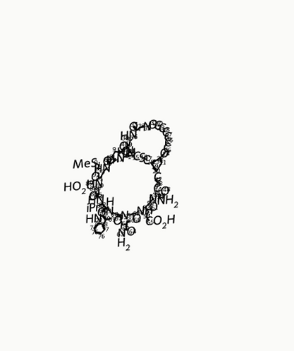 CSCC[C@@H]1NC(=O)[C@@H]2CCCN2C(=O)[C@@H]2CSCc3cc(cc(c3)OCCCCCCO/N=C/C(=O)N[C@@H](C)C(=O)N2)CSC[C@@H](C(N)=O)NC(=O)[C@H](CCC(=O)O)NC(=O)[C@H](CCC(N)=O)NC(=O)[C@H](Cc2c[nH]c3ccccc23)NC(=O)C(C(C)C)NC(=O)[C@H](CC(=O)O)NC1=O